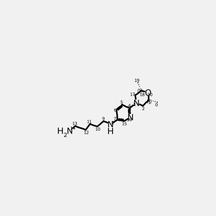 C[C@@H]1CN(c2ccc(NCCCCCN)cn2)C[C@H](C)O1